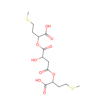 CSCCC(OC(=O)CC(O)C(=O)OC(CCSC)C(=O)O)C(=O)O